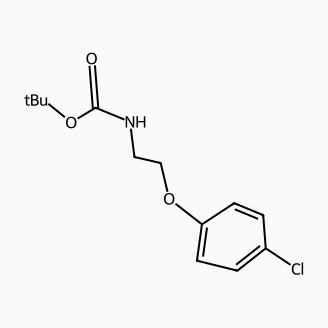 CC(C)(C)OC(=O)NCCOc1ccc(Cl)cc1